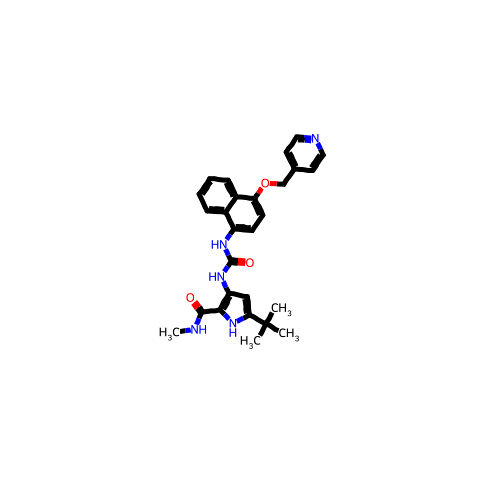 CNC(=O)c1[nH]c(C(C)(C)C)cc1NC(=O)Nc1ccc(OCc2ccncc2)c2ccccc12